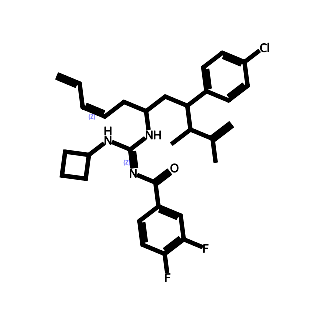 C=C/C=C\CC(CC(c1ccc(Cl)cc1)C(C)C(=C)C)N/C(=N\C(=O)c1ccc(F)c(F)c1)NC1CCC1